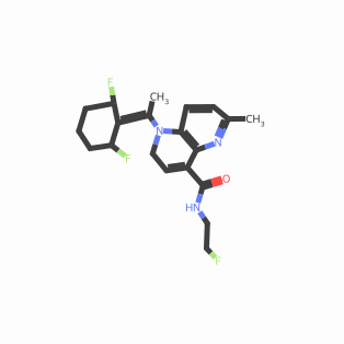 CC(=C1C(F)CCCC1F)N1CC=C(C(=O)NCCF)c2nc(C)ccc21